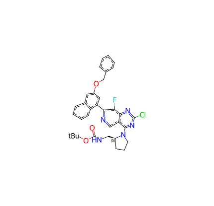 CC(C)(C)OC(=O)NC[C@@H]1CCCN1c1nc(Cl)nc2c(F)c(-c3cc(OCc4ccccc4)cc4ccccc34)ncc12